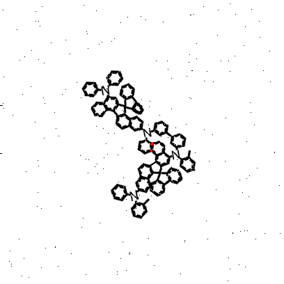 Cc1ccccc1N(c1ccccc1)c1ccc2c3c(ccc2c1)-c1c(cc(N(c2cccc(-c4cccc(N(c5ccccc5)c5ccc6c7c(ccc6c5)-c5c(cc(N(c6ccccc6)c6ccccc6)c6ccccc56)C75c6ccccc6-c6ccccc65)c4)c2)c2ccccc2C)c2ccccc12)C31c2ccccc2-c2ccccc21